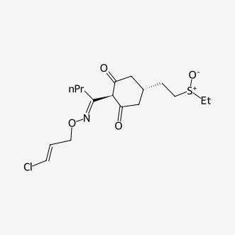 CCCC(=NOCC=CCl)[C@H]1C(=O)C[C@H](CC[S+]([O-])CC)CC1=O